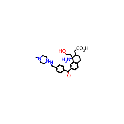 CN1CCN(N=Cc2ccc(C(=O)c3ccc4c(c3)C(N)(CCO)C(CC(=O)O)CC4)cc2)CC1